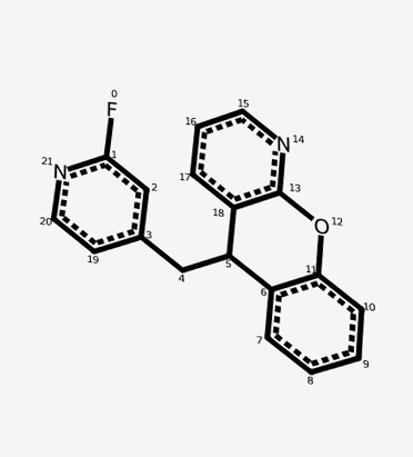 Fc1cc(CC2c3ccccc3Oc3ncccc32)ccn1